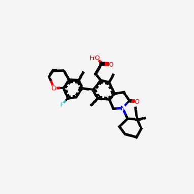 Cc1c(-c2c(C)c3c(c(C)c2CC(=O)O)CC(=O)N(C2CCCCC2(C)C)C3)cc(F)c2c1CCCO2